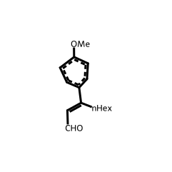 CCCCCC/C(=C\C=O)c1ccc(OC)cc1